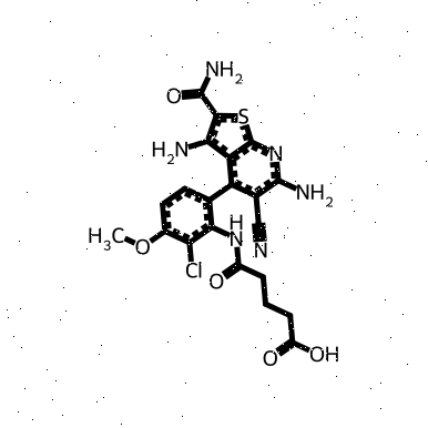 COc1ccc(-c2c(C#N)c(N)nc3sc(C(N)=O)c(N)c23)c(NC(=O)CCCC(=O)O)c1Cl